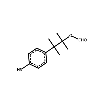 CC(C)(OC=O)C(C)(C)c1ccc(S)cc1